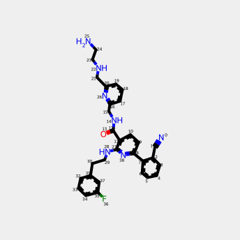 N#Cc1ccccc1-c1ccc(C(=O)NCc2cccc(CNCCN)n2)c(NCCc2cccc(F)c2)n1